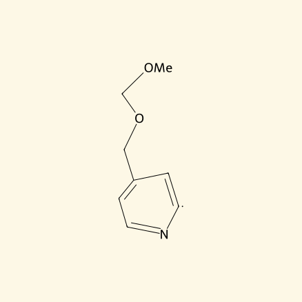 COCOCc1c[c]ncc1